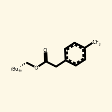 CC[C@@H](C)COC(=O)Cc1ccc(C(F)(F)F)cc1